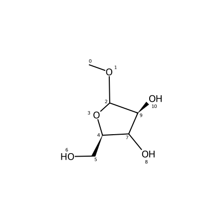 COC1O[C@H](CO)C(O)[C@@H]1O